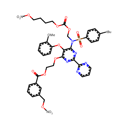 COc1ccccc1Oc1c(OCCOC(=O)c2cccc(CO[N+](=O)[O-])c2)nc(-c2ncccn2)nc1N(COC(=O)OCCCCO[N+](=O)[O-])S(=O)(=O)c1ccc(C(C)(C)C)cc1